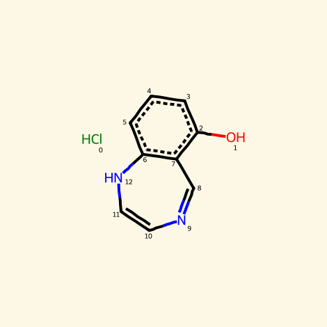 Cl.Oc1cccc2c1C=NC=CN2